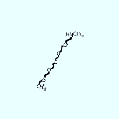 CCSCCOCCOCCOCCOCCNC